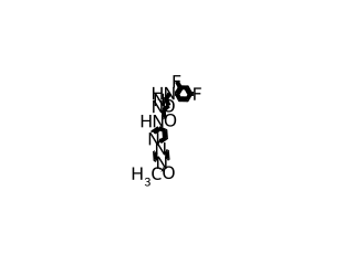 CC(=O)N1CCN(c2ccc(NC(=O)c3nnc(Nc4ccc(F)cc4F)o3)cn2)CC1